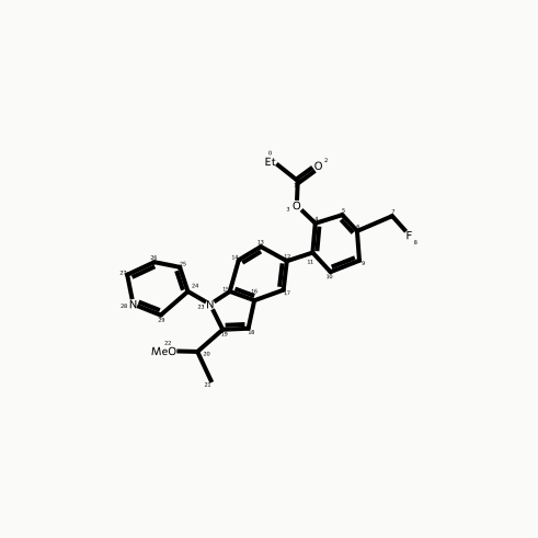 CCC(=O)Oc1cc(CF)ccc1-c1ccc2c(c1)cc(C(C)OC)n2-c1cccnc1